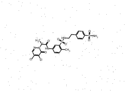 Cc1ccc(NC(=O)[C@H](C)n2ncc(Cl)c(Cl)c2=O)cc1S(=O)(=O)NCCc1ccc(S(N)(=O)=O)cc1